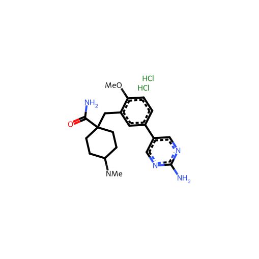 CNC1CCC(Cc2cc(-c3cnc(N)nc3)ccc2OC)(C(N)=O)CC1.Cl.Cl